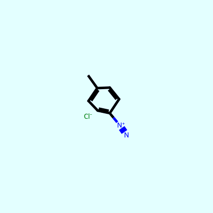 Cc1ccc([N+]#N)cc1.[Cl-]